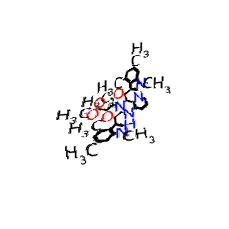 CC[C@H](CC(=O)OC)N1C(C(=O)c2cn(C)c3cc(C)cc(C)c23)Nc2cccnc2C1C(=O)c1cn(C)c2cc(C)cc(C)c12